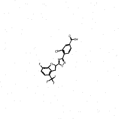 O=C(O)c1ccc(-c2noc(-c3cc4c(C(F)(F)F)ccc(F)c4o3)n2)c(Cl)c1